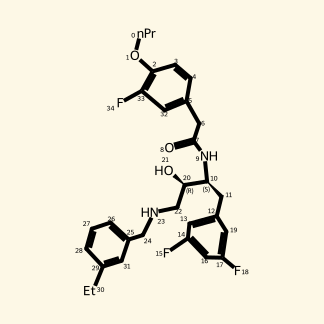 CCCOc1ccc(CC(=O)N[C@@H](Cc2cc(F)cc(F)c2)[C@H](O)CNCc2cccc(CC)c2)cc1F